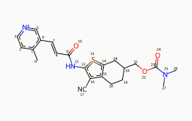 Cc1ccncc1C=CC(=O)Nc1sc2c(c1C#N)CCC(COC(=O)N(C)C)C2